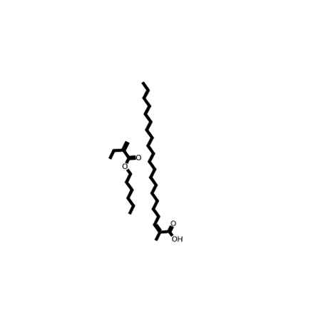 C=C(CC)C(=O)OCCCCCC.CCCCCCCCCCCCCCCCCCC=C(C)C(=O)O